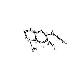 [N-]=[N+]=Nc1cc2cccc(O)c2oc1=O